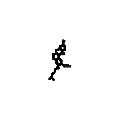 COc1cc2c(Nc3ccc(Br)cc3F)ncnc2cc1OCCCN(C)C